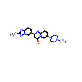 Cc1nc2ccc(-c3cc(=O)n4cc(N5CCN(C)CC5)ccc4n3)cn2n1